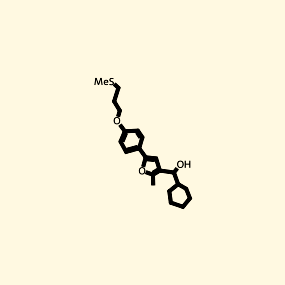 CSCCCOc1ccc(-c2cc(C(O)C3CCCCC3)c(C)o2)cc1